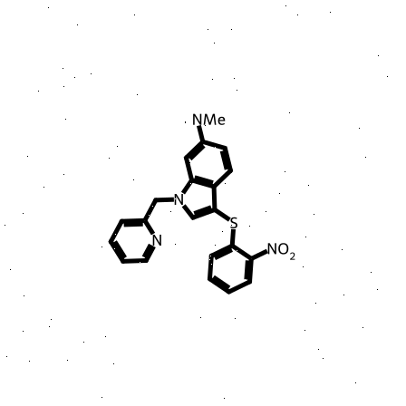 CNc1ccc2c(Sc3ccccc3[N+](=O)[O-])cn(Cc3ccccn3)c2c1